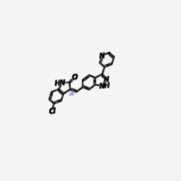 O=C1Nc2ccc(Cl)cc2/C1=C/c1ccc2c(-c3cccnc3)n[nH]c2c1